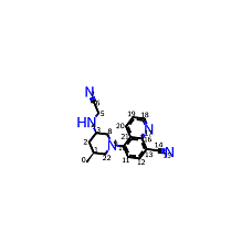 C[C@H]1C[C@@H](NCC#N)CN(c2ccc(C#N)c3ncccc23)C1